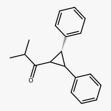 CC(C)C(=O)C1C(c2ccccc2)[C@H]1c1ccccc1